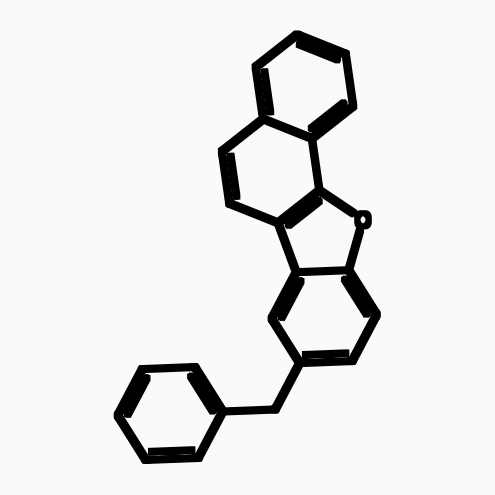 c1ccc(Cc2ccc3oc4c5ccccc5ccc4c3c2)cc1